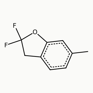 Cc1ccc2c(c1)OC(F)(F)C2